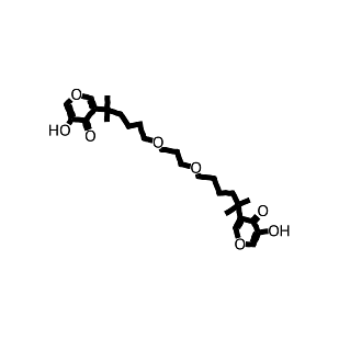 CC(C)(CCCCOCCCOCCCCC(C)(C)c1cocc(O)c1=O)c1cocc(O)c1=O